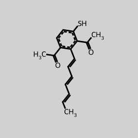 C/C=C/C=C/C=C/c1c(C(C)=O)ccc(S)c1C(C)=O